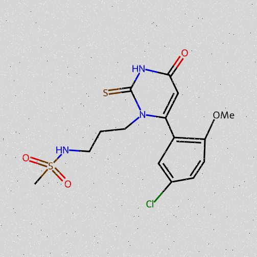 COc1ccc(Cl)cc1-c1cc(=O)[nH]c(=S)n1CCCNS(C)(=O)=O